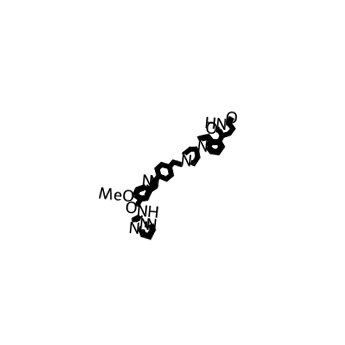 COc1cc2nn(C3CCC(CCN4CCC(n5ccc6c(C7CCC(=O)NC7=O)cccc65)CC4)CC3)cc2cc1C(=O)Nc1cnc2cccnn12